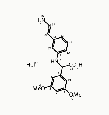 COc1cc(OC)cc(C(Nc2cccc(C=NN)c2)C(=O)O)c1.Cl